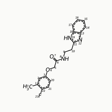 Cc1cc(OCC(=O)NCCc2nc3ccccc3[nH]2)ccc1F